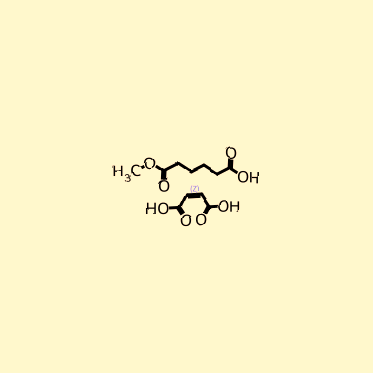 COC(=O)CCCCC(=O)O.O=C(O)/C=C\C(=O)O